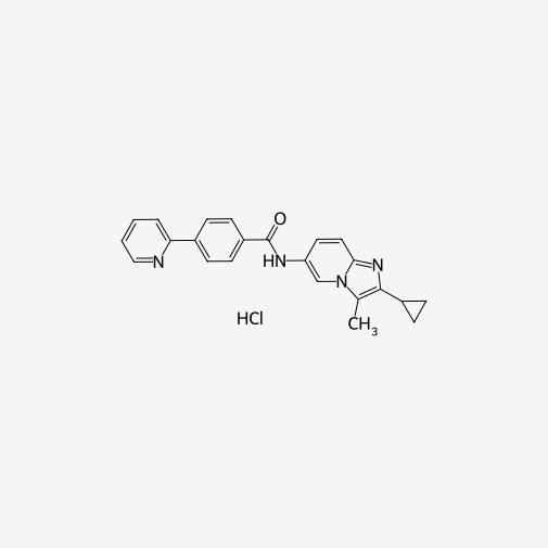 Cc1c(C2CC2)nc2ccc(NC(=O)c3ccc(-c4ccccn4)cc3)cn12.Cl